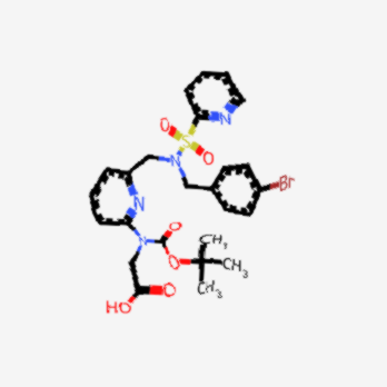 CC(C)(C)OC(=O)N(CC(=O)O)c1cccc(CN(Cc2ccc(Br)cc2)S(=O)(=O)c2ccccn2)n1